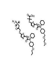 CCCO[C@H]1CC[C@H](N(C(=O)Nc2ncc(SCC(=O)CS(N)(=O)=O)s2)C2CCCCC2)CC1.COCCOC[C@H]1CC[C@H](N(C(=O)Nc2ncc(SC(C)(C)C(=O)O)s2)C2CCCCC2)CC1